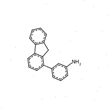 Nc1cccc(-c2cccc3c2Cc2ccccc2-3)c1